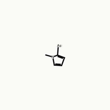 Cn1cccc1[As]